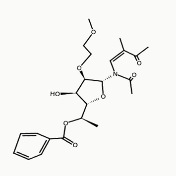 COCCO[C@@H]1[C@H](O)[C@@H]([C@@H](C)OC(=O)c2ccccc2)O[C@H]1N(/C=C(/C)C(C)=O)C(C)=O